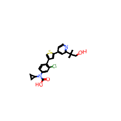 CC(C)(CO)c1cc(-c2cc(-c3ccc(N(C(=O)O)C4CC4)cc3Cl)cs2)ccn1